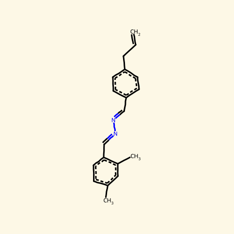 C=CCc1ccc(C=NN=Cc2ccc(C)cc2C)cc1